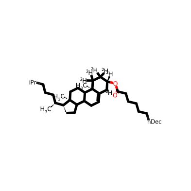 [2H]C1C2=CCC3C4CC[C@H]([C@H](C)CCCC(C)C)[C@@]4(C)CCC3[C@@]2(C)C([2H])([2H])C([2H])([2H])[C@]1([2H])OC(=O)CCCCCCCCCCCCCCC